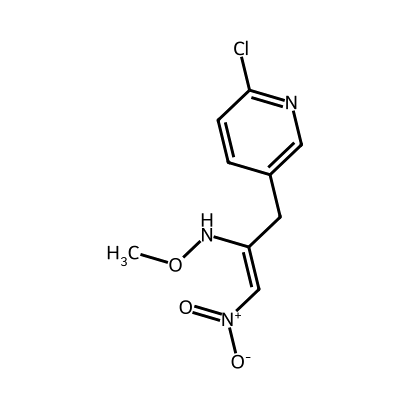 CONC(=C[N+](=O)[O-])Cc1ccc(Cl)nc1